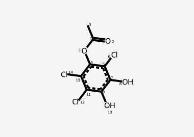 CC(=O)Oc1c(Cl)c(O)c(O)c(Cl)c1Cl